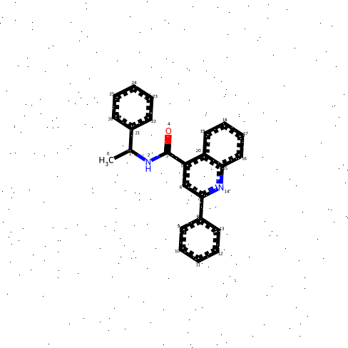 CC(NC(=O)c1cc(-c2ccccc2)nc2ccccc12)c1ccccc1